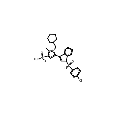 Cc1c(S(N)(=O)=O)cc(C2=CC(S(=O)(=O)c3ccc(Cl)cc3)c3ccccc32)n1CC1CCCCC1